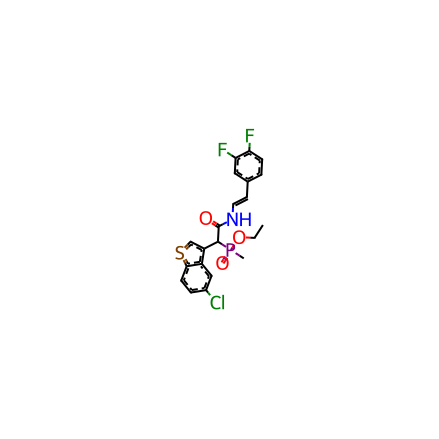 CCOP(C)(=O)C(C(=O)NC=Cc1ccc(F)c(F)c1)c1csc2ccc(Cl)cc12